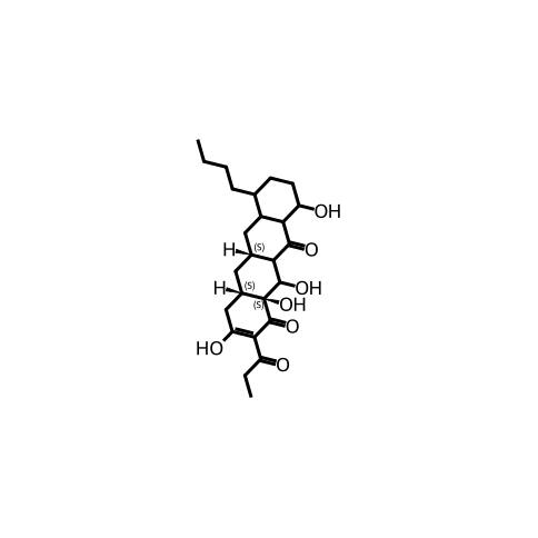 CCCCC1CCC(O)C2C(=O)C3C(O)[C@]4(O)C(=O)C(C(=O)CC)=C(O)C[C@@H]4C[C@@H]3CC12